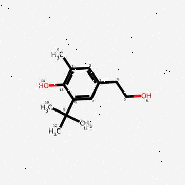 Cc1cc(CCO)cc(C(C)(C)C)c1O